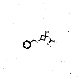 CCC(=O)OC1(N)CC(OCc2ccccc2)C1